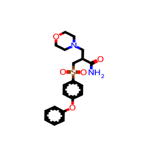 NC(=O)C(CN1CCOCC1)CS(=O)(=O)c1ccc(Oc2ccccc2)cc1